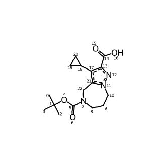 CC(C)(C)OC(=O)N1CCCn2nc(C(=O)O)c(C3CC3)c2C1